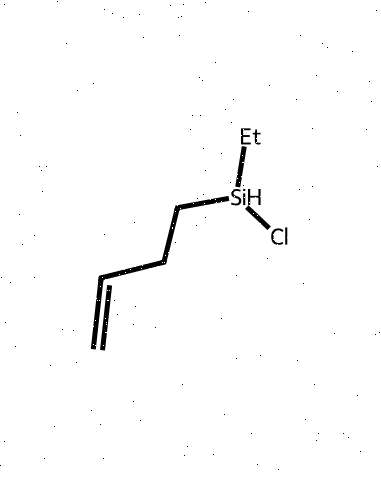 C=CCC[SiH](Cl)CC